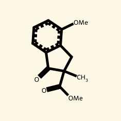 COC(=O)C1(C)Cc2c(OC)cccc2C1=O